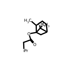 CC(C)CC(=O)OC12CC(CCC1C)C2(C)C